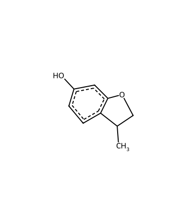 CC1COc2cc(O)ccc21